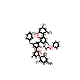 Cc1cc(-c2cc(Cc3ccccc3)cc(-c3cc(C)cc(-c4c(C(C)C)cc(C(C)C)cc4C(C)C)c3O)c2OCCCOc2ccccc2)c(O)c(-c2c(C(C)C)cc(C(C)C)cc2C(C)C)c1